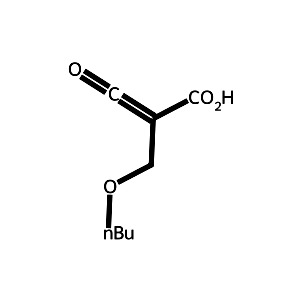 CCCCOCC(=C=O)C(=O)O